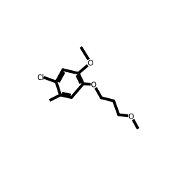 COCCCOc1cc(C)c(Cl)cc1OC